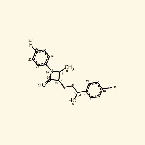 CC1[C@@H](CC[C@H](O)c2ccc(F)cc2)C(=O)N1c1ccc(F)cc1